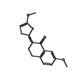 COC1=CC/C(=C2\CCc3ccc(OC)cc3C2=O)S1